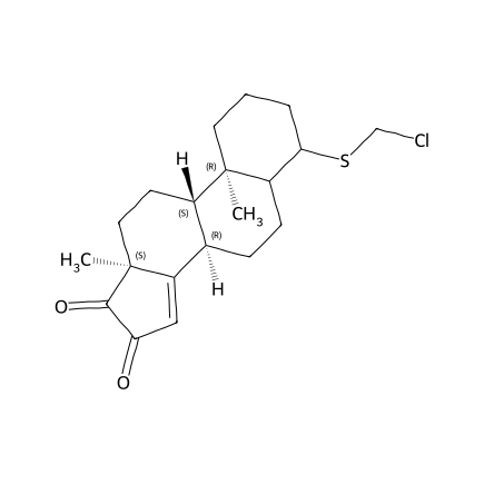 C[C@]12CC[C@H]3[C@@H](CCC4C(SCCl)CCC[C@@]43C)C1=CC(=O)C2=O